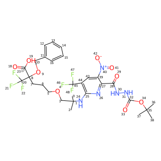 CC(C)(COCCCC(OCc1ccccc1)(C(=O)O)C(F)(F)F)Nc1nc(C(=O)NNC(=O)OC(C)(C)C)c([N+](=O)[O-])cc1C(F)(F)F